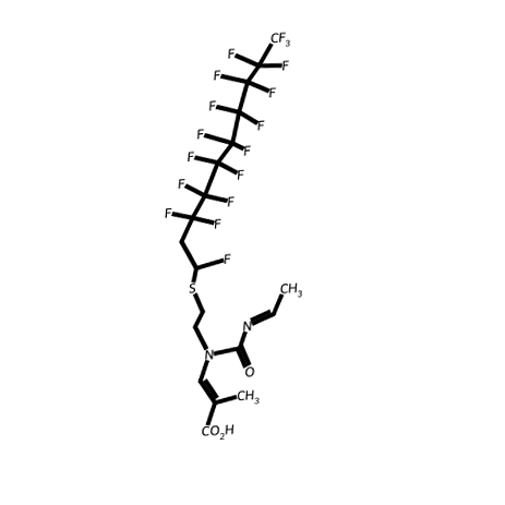 CC=NC(=O)N(C=C(C)C(=O)O)CCSC(F)CC(F)(F)C(F)(F)C(F)(F)C(F)(F)C(F)(F)C(F)(F)C(F)(F)C(F)(F)F